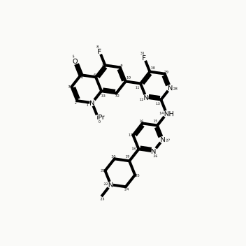 CC(C)n1ccc(=O)c2c(F)cc(-c3nc(Nc4ccc(C5CCN(C)CC5)nn4)ncc3F)cc21